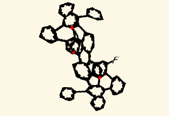 Fc1ccccc1-c1ccccc1-c1c2c(c(-c3ccccc3)c3ccccc13)-c1ccc3c4ccc5c6c(ccc(c7ccc-2c1c37)c64)-c1c-5c(-c2ccccc2-c2ccccc2F)c2ccccc2c1-c1ccccc1